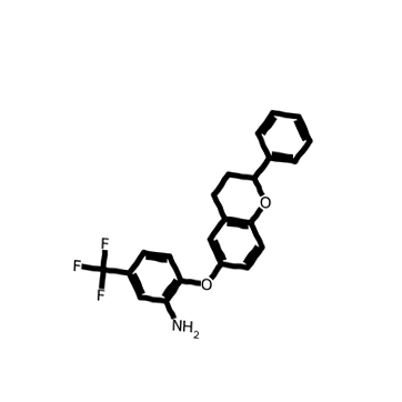 Nc1cc(C(F)(F)F)ccc1Oc1ccc2c(c1)CCC(c1ccccc1)O2